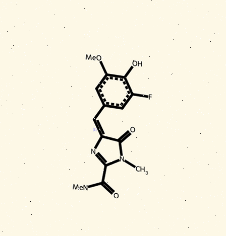 CNC(=O)C1=N/C(=C/c2cc(F)c(O)c(OC)c2)C(=O)N1C